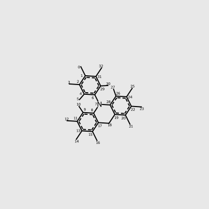 Cc1c(C)c(C)c(N2c3c(C)c(C)c(C)c(C)c3Cc3c(C)c(C)c(C)c(C)c32)c(C)c1C